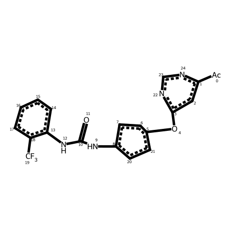 CC(=O)c1cc(Oc2ccc(NC(=O)Nc3ccccc3C(F)(F)F)cc2)ncn1